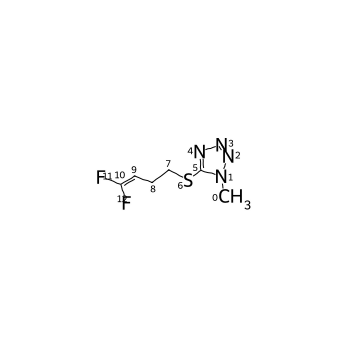 Cn1nnnc1SCCC=C(F)F